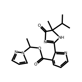 CC(OC(=O)c1cccnc1C1=NC(=O)C(C)(C(C)C)N1)n1cccn1